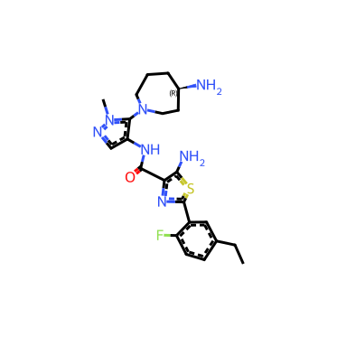 CCc1ccc(F)c(-c2nc(C(=O)Nc3cnn(C)c3N3CCC[C@@H](N)CC3)c(N)s2)c1